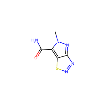 Cn1nc2nnsc2c1C(N)=O